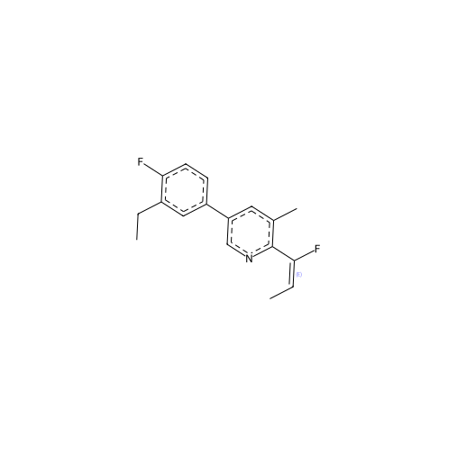 C/C=C(/F)c1ncc(-c2ccc(F)c(CC)c2)cc1C